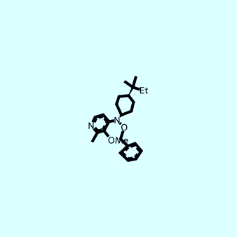 CCC(C)(C)[C@H]1CC[C@@H](N(OCc2ccccc2)c2ccnc(C)c2OC)CC1